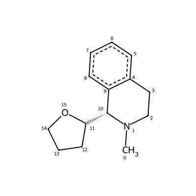 CN1CCc2ccccc2[C@H]1C1CCCO1